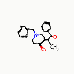 CC(C(=O)c1ccccc1)C1CN(Cc2ccccc2)CCC1=O